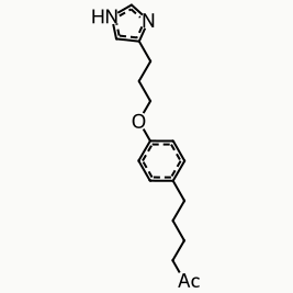 CC(=O)CCCCc1ccc(OCCCc2c[nH]cn2)cc1